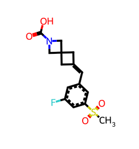 CS(=O)(=O)c1cc(F)cc(C=C2CC3(C2)CN(C(=O)O)C3)c1